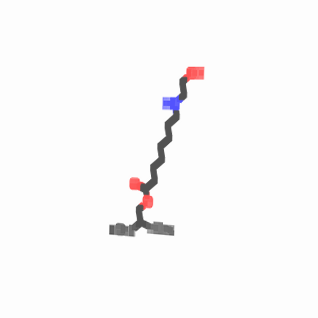 CCCCCCCCC(CCCCCC)COC(=O)CCCCCCCNCCO